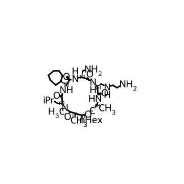 CCCCCC[C@H]1OC[C@@H](C)NC(=O)[C@H](CNCCN)NC(=O)[C@H](CN)NC(=O)[C@H](C2CCCCCC2)NC(=O)[C@H](CC(C)C)N(C)C(=O)[C@@H]1C